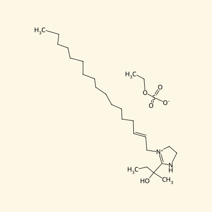 CCCCCCCCCCCCCCC=CC[N+]1=C(C(C)(O)CC)NCC1.CCOS(=O)(=O)[O-]